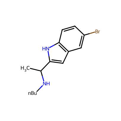 CCCCNC(C)c1cc2cc(Br)ccc2[nH]1